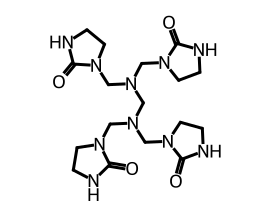 O=C1NCCN1CN(CN(CN1CCNC1=O)CN1CCNC1=O)CN1CCNC1=O